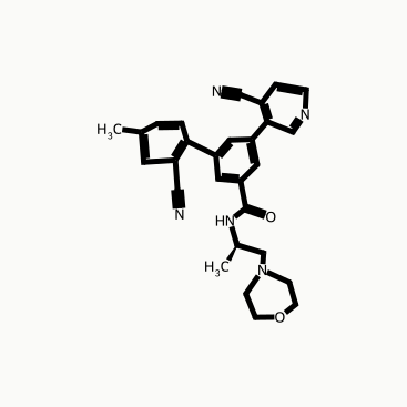 Cc1ccc(-c2cc(C(=O)N[C@H](C)CN3CCOCC3)cc(-c3cnccc3C#N)c2)c(C#N)c1